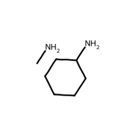 CN.NC1CCCCC1